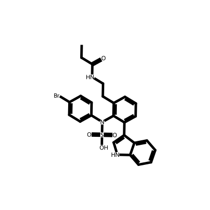 CCC(=O)NCCc1cccc(-c2c[nH]c3ccccc23)c1N(c1ccc(Br)cc1)S(=O)(=O)O